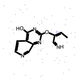 C/C=C(\C=N)Oc1nc(O)c2ccncc2n1